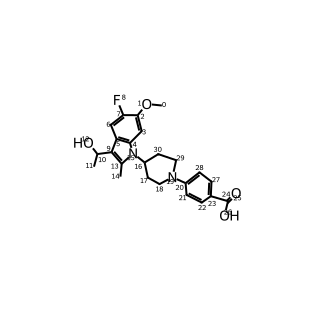 COc1cc2c(cc1F)c(C(C)O)c(C)n2C1CCN(c2ccc(C(=O)O)cc2)CC1